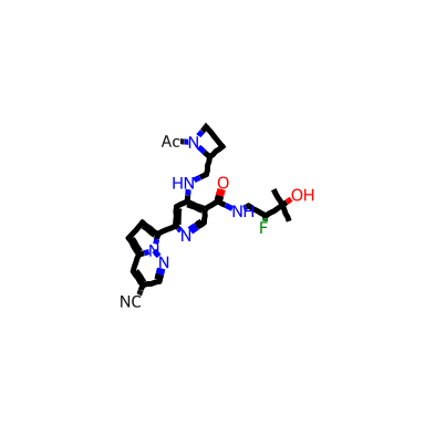 CC(=O)N1CCC1CNc1cc(-c2ccc3cc(C#N)cnn23)ncc1C(=O)NCC(F)C(C)(C)O